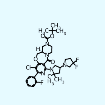 CC(C)(C)OC(=O)N1CCN2C(=O)c3c(N4CC(N5CCC(F)(F)C5)CC4(C)C)nc(-c4ccccc4F)c(Cl)c3OC[C@H]2C1